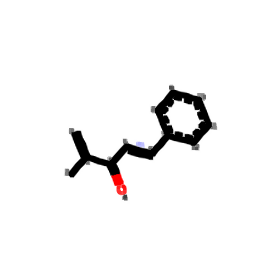 C=C(C)C(=O)/C=C/c1ccccc1